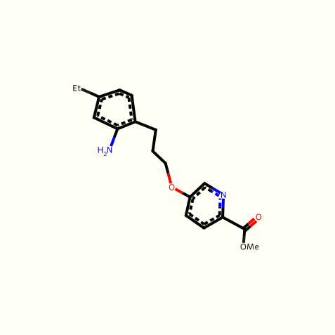 CCc1ccc(CCCOc2ccc(C(=O)OC)nc2)c(N)c1